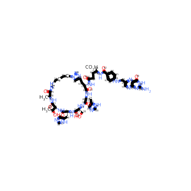 C[C@H](O)[C@H]1NC(=O)[C@@H](Cc2cnc[nH]2)NC(=O)[C@@H](CO)NC(=O)[C@@H](Cc2cnc[nH]2)NC(=O)[C@@H](NC(=O)CC[C@H](NC(=O)c2ccc(NCc3cnc4nc(N)[nH]c(=O)c4n3)cc2)C(=O)O)Cc2cn(nn2)CCCCCNC(=O)[C@@H](C)NC1=O